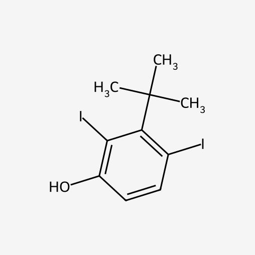 CC(C)(C)c1c(I)ccc(O)c1I